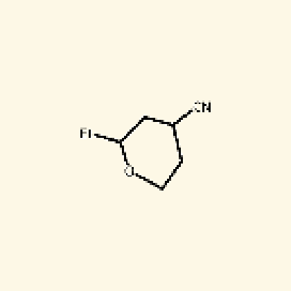 CCC1CC(C#N)CCO1